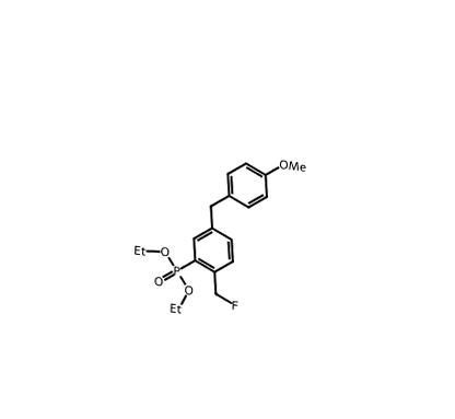 CCOP(=O)(OCC)c1cc(Cc2ccc(OC)cc2)ccc1CF